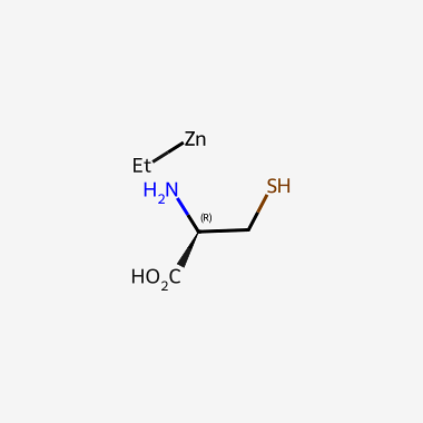 C[CH2][Zn].N[C@@H](CS)C(=O)O